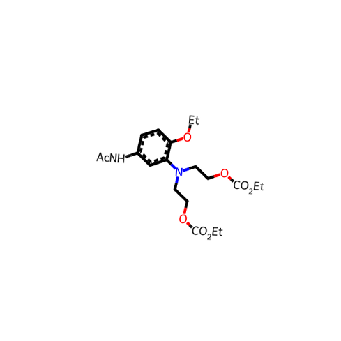 CCOC(=O)OCCN(CCOC(=O)OCC)c1cc(NC(C)=O)ccc1OCC